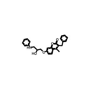 Cc1c(Cc2ccccc2)c(=O)oc2cc(OCC(O)CNc3ccccc3)ccc12